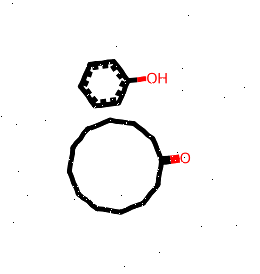 O=C1CCCCCCCCCCC1.Oc1ccccc1